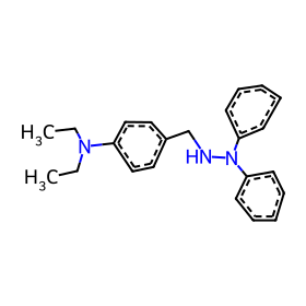 CCN(CC)c1ccc(CNN(c2ccccc2)c2ccccc2)cc1